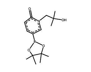 CC(C)(O)Cn1cc(B2OC(C)(C)C(C)(C)O2)ccc1=O